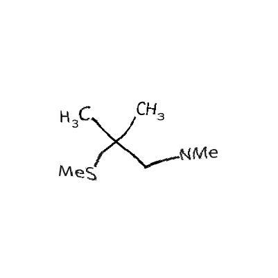 CNCC(C)(C)SC